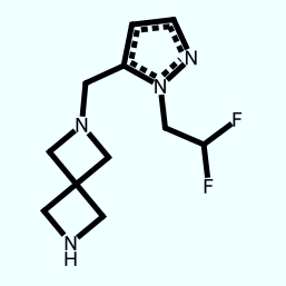 FC(F)Cn1nccc1CN1CC2(CNC2)C1